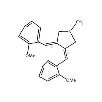 COc1ccccc1/C=C1\CN(C)C\C1=C\c1ccccc1OC